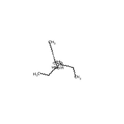 CCCCCCCC/C=C\CCCCCCCCNC(=O)[C@@H]1C[C@H](C(=O)NCCCCCCCC/C=C\CCCCCCCC)C[C@H](C(=O)NCCCCCCCCCCCCCCCCCC)C1